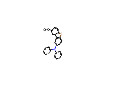 O=Cc1ccc2sc3ccc(N(c4ccccc4)c4ccccc4)cc3c2c1